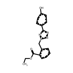 CCOC(=O)c1ccccc1Cn1nnc(-c2ccc(O)cc2)n1